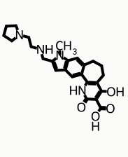 Cn1c(CNCCN2CCCC2)cc2cc3c(cc21)CCCc1c-3[nH]c(=O)c(C(=O)O)c1O